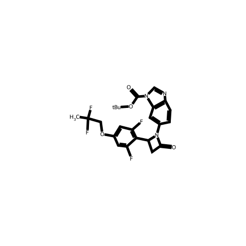 CC(F)(F)COc1cc(F)c(C2CC(=O)N2c2ccc3ncn(C(=O)OC(C)(C)C)c3c2)c(F)c1